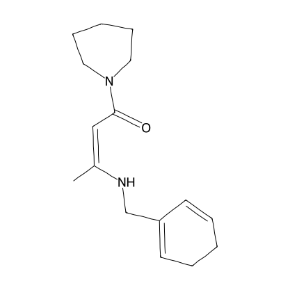 C/C(=C/C(=O)N1CCCCC1)NCC1=CCCC=C1